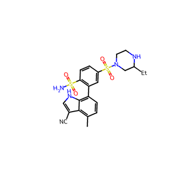 CCC1CN(S(=O)(=O)c2ccc(S(N)(=O)=O)c(-c3ccc(C)c4c(C#N)c[nH]c34)c2)CCN1